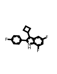 Fc1ccc(-c2[nH]c3c(F)cc(F)cc3c2[C]2CCC2)cc1